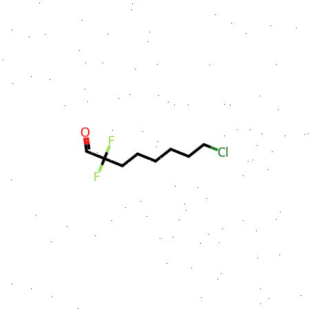 O=CC(F)(F)CCCCCCCl